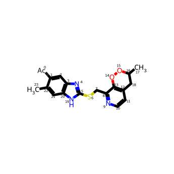 CC(=O)c1cc2nc(SCc3nccc4c3OOC(C)C4)[nH]c2cc1C